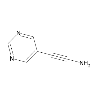 NC#Cc1cncnc1